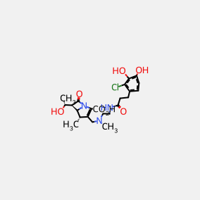 C[C@H]1C(CN(C)CCNC(=O)CCc2ccc(O)c(O)c2Cl)=C(C(=O)O)N2C(=O)[C@H]([C@@H](C)O)C12